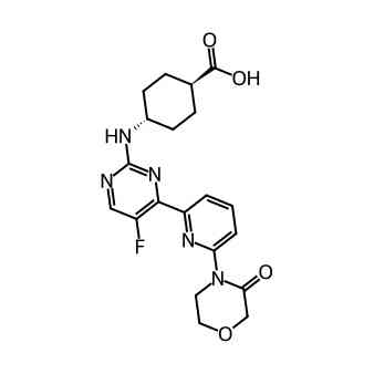 O=C1COCCN1c1cccc(-c2nc(N[C@H]3CC[C@H](C(=O)O)CC3)ncc2F)n1